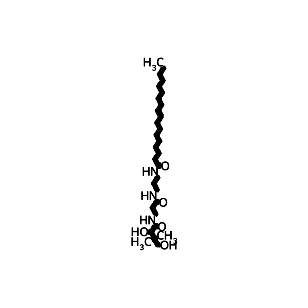 CCCCCCCCC=CCCCCCCCC(=O)NCCCNC(=O)CCNC(=O)C(O)C(C)(C)CO